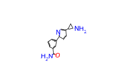 NC(=O)c1cccc(-c2ccc([C@H]3C[C@@H]3N)cn2)c1